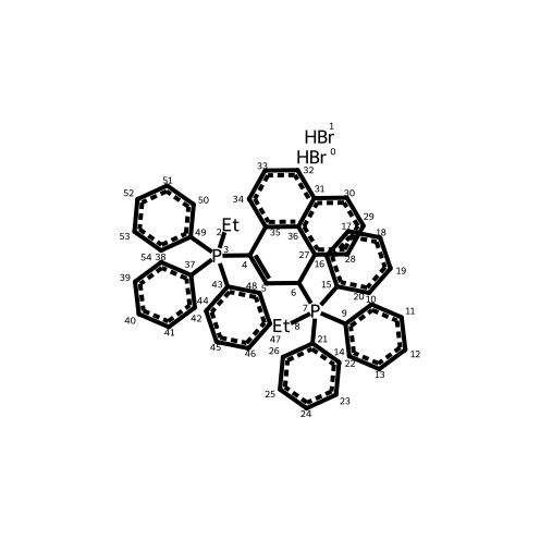 Br.Br.CCP(C1=CC(P(CC)(c2ccccc2)(c2ccccc2)c2ccccc2)c2cccc3cccc1c23)(c1ccccc1)(c1ccccc1)c1ccccc1